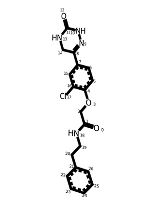 O=C(COc1ccc(C2=NNC(=O)NC2)cc1Cl)NCCc1ccccc1